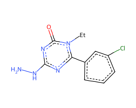 CCn1c(-c2cccc(Cl)c2)nc(NN)nc1=O